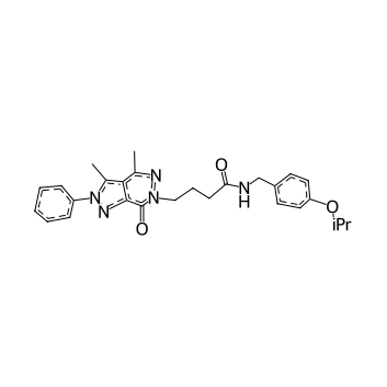 Cc1nn(CCCC(=O)NCc2ccc(OC(C)C)cc2)c(=O)c2nn(-c3ccccc3)c(C)c12